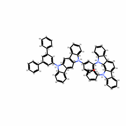 c1ccc(-c2cc(-c3ccccc3)cc(-n3c4ccccc4c4cc5c(cc43)c3ccccc3n5-c3cccc(-n4c5ccccc5c5ccc6c7ccccc7n(-c7ccccc7)c6c54)c3)c2)cc1